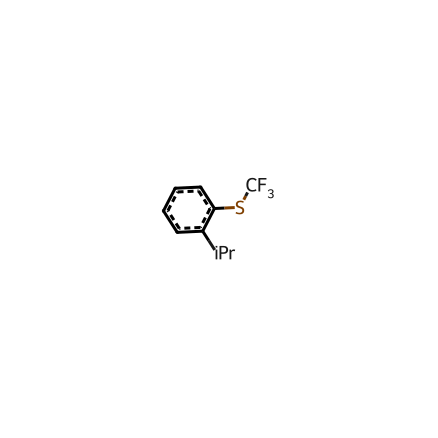 CC(C)c1ccccc1SC(F)(F)F